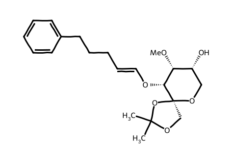 CO[C@@H]1[C@H](O)CO[C@]2(COC(C)(C)O2)[C@@H]1O/C=C/CCCc1ccccc1